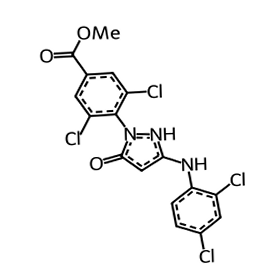 COC(=O)c1cc(Cl)c(-n2[nH]c(Nc3ccc(Cl)cc3Cl)cc2=O)c(Cl)c1